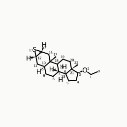 CCO[C@H]1CC[C@H]2[C@@H]3CC[C@H]4C[C@@H]5S[C@@H]5C[C@]4(C)[C@H]3CC[C@]12C